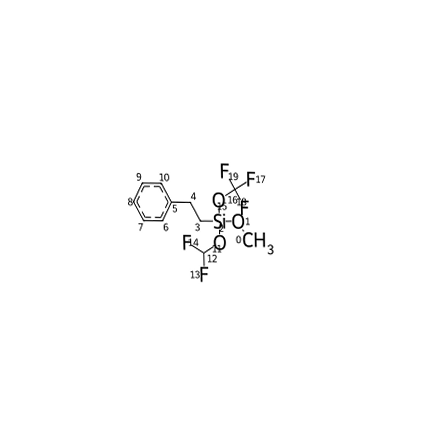 CO[Si](CCc1ccccc1)(OC(F)F)OC(F)(F)F